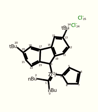 CCCC[C](CCCC)=[Zr+2]([C]1=CC=CC1)[CH]1c2ccc(C(C)(C)C)cc2-c2cc(C(C)(C)C)ccc21.[Cl-].[Cl-]